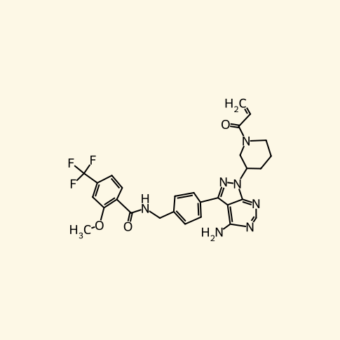 C=CC(=O)N1CCCC(n2nc(-c3ccc(CNC(=O)c4ccc(C(F)(F)F)cc4OC)cc3)c3c(N)ncnc32)C1